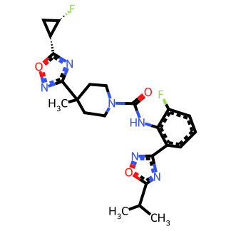 CC(C)c1nc(-c2cccc(F)c2NC(=O)N2CCC(C)(c3noc([C@@H]4C[C@@H]4F)n3)CC2)no1